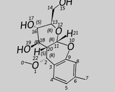 CO[C@H]1c2ccc(C)cc2O[C@H]2O[C@H](CO)[C@@H](O)[C@H](O)[C@H]21